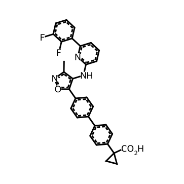 Cc1noc(-c2ccc(-c3ccc(C4(C(=O)O)CC4)cc3)cc2)c1Nc1cccc(-c2cccc(F)c2F)n1